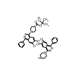 CC(C)(C)OC(=O)N1CCN(c2nnc(-c3ccccc3)c3cc(Cl)c(Cl)cc23)CC1.Clc1cc2c(-c3ccccc3)nnc(N3CCNCC3)c2cc1Cl